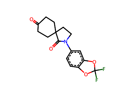 O=C1CCC2(CC1)CCN(c1ccc3c(c1)OC(F)(F)O3)C2=O